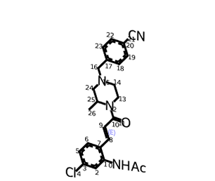 CC(=O)Nc1cc(Cl)ccc1/C=C/C(=O)N1CCN(Cc2ccc(C#N)cc2)CC1C